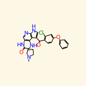 CN1CC[C@]2(C1)Nc1c(cnc3[nH]cc(C(=O)c4ccc(Oc5ccccc5)cc4Cl)c13)NC2=O